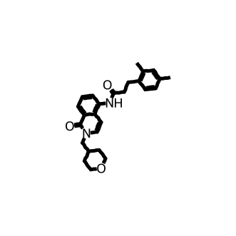 Cc1ccc(CCC(=O)Nc2cccc3c(=O)n(CC4CCOCC4)ccc23)c(C)c1